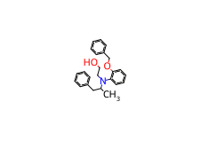 CC(Cc1ccccc1)N(CCO)c1ccccc1OCc1ccccc1